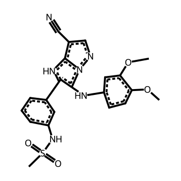 COc1ccc(Nc2c(-c3cccc(NS(C)(=O)=O)c3)[nH]c3c(C#N)cnn23)cc1OC